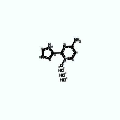 Cl.Cl.Cl.Nc1cc[n+]([O-])c(-c2cnc[nH]2)n1